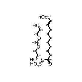 CCCCCCCCC=CCCCCCCCC(=O)OS(=O)(=O)O.OCCONOCCO